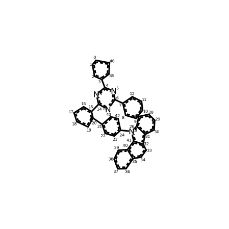 c1ccc(-c2nc(-c3ccccc3)nc(-c3ccccc3-c3ccc(-n4c5ccccc5c5ccc6ccccc6c54)cc3)n2)cc1